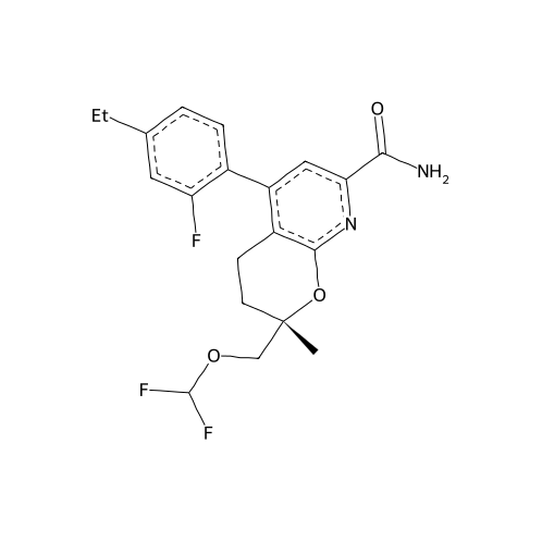 CCc1ccc(-c2cc(C(N)=O)nc3c2CC[C@@](C)(COC(F)F)O3)c(F)c1